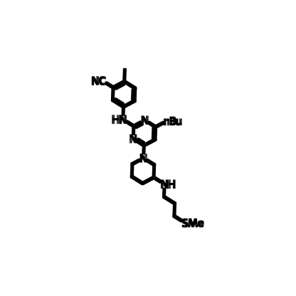 CCCCc1cc(N2CCCC(NCCCSC)C2)nc(Nc2ccc(C)c(C#N)c2)n1